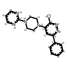 Clc1nnc(-c2ccccc2)cc1N1CCN(c2ncccn2)CC1